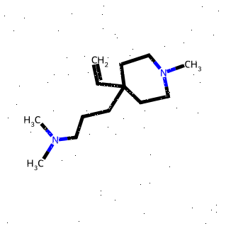 C=CC1(CCCN(C)C)CCN(C)CC1